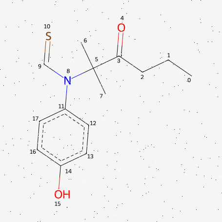 CCCC(=O)C(C)(C)N(C=S)c1ccc(O)cc1